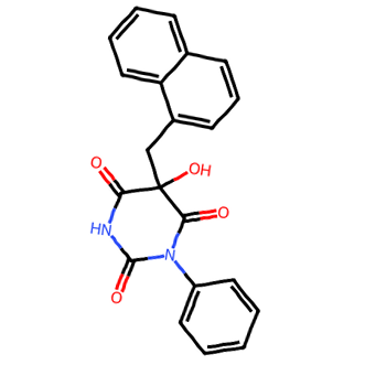 O=C1NC(=O)C(O)(Cc2cccc3ccccc23)C(=O)N1c1ccccc1